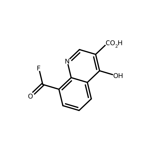 O=C(O)c1cnc2c(C(=O)F)cccc2c1O